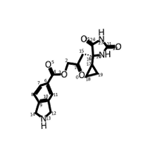 O=C(COC(=O)c1ccc2c(c1)CNC2)C[C@@]1(C2CC2)NC(=O)NC1=O